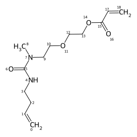 C=CCCNC(=O)N(C)CCOCCOC(=O)C=C